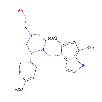 COc1cc(C)c2[nH]ccc2c1CN1CCN(CCO)CC1c1ccc(C(=O)O)cc1